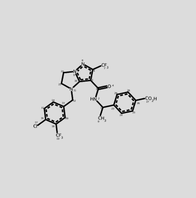 CC(NC(=O)c1c(C(F)(F)F)nn2c1N(Cc1ccc(Cl)c(C(F)(F)F)c1)CC2)c1ccc(C(=O)O)cc1